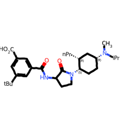 CCC[C@@H]1C[C@H](N(C)C(C)C)CC[C@@H]1N1CCC(NC(=O)c2cc(C(=O)O)cc(C(C)(C)C)c2)C1=O